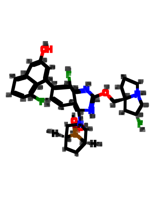 O=S1(=O)[C@@H]2CC[C@H]1CN(c1nc(OC[C@@]34CCCN3C[C@H](F)C4)nc3c(F)c(-c4cc(O)cc5cccc(F)c45)ccc13)C2